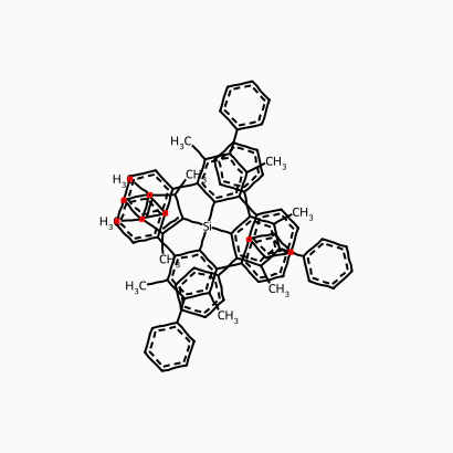 CC1=C(C)C(C)C([Si](c2c(-c3ccccc3)c(C)c(-c3ccccc3)c(C)c2-c2ccccc2)(c2c(-c3ccccc3)c(C)c(-c3ccccc3)c(C)c2-c2ccccc2)c2c(-c3ccccc3)c(C)c(-c3ccccc3)c(C)c2-c2ccccc2)=C1C